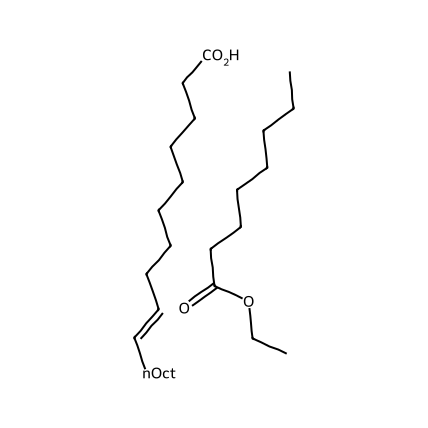 CCCCCCCC(=O)OCC.CCCCCCCCC=CCCCCCCCC(=O)O